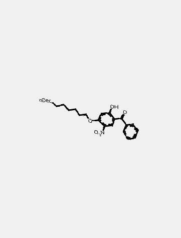 CCCCCCCCCCCCCCCCOc1cc(O)c(C(=O)c2ccccc2)cc1[N+](=O)[O-]